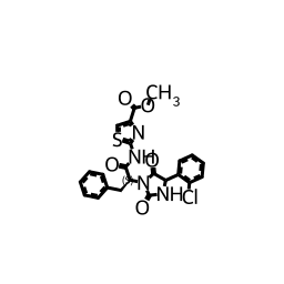 COC(=O)c1csc(NC(=O)[C@H](Cc2ccccc2)N2C(=O)NC(c3ccccc3Cl)C2=O)n1